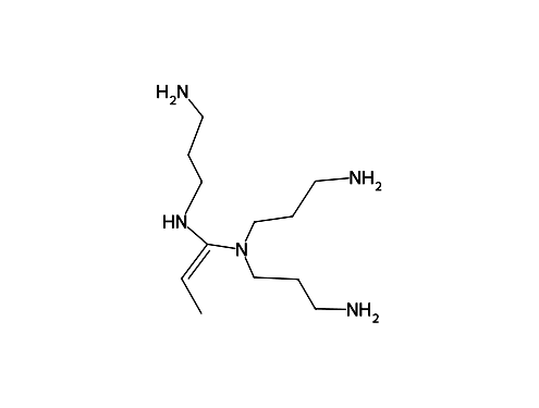 CC=C(NCCCN)N(CCCN)CCCN